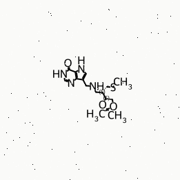 CSC[C@@H](CNCc1c[nH]c2c(=O)[nH]cnc12)[C@H]1COC(C)(C)O1